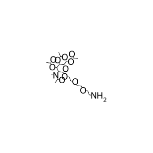 CC(=O)OCC1O[C@@H](OCCOCCOCCN)C(N(C)C(C)=O)C(OC(C)=O)[C@H]1OC(C)=O